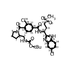 CC(C)(C)OC(=O)NCC1CCCN1C(=O)c1ccc(C(=O)N[C@@H](CCS(C)(=O)=O)c2nc3cc(Cl)ccc3[nH]2)cc1Cl